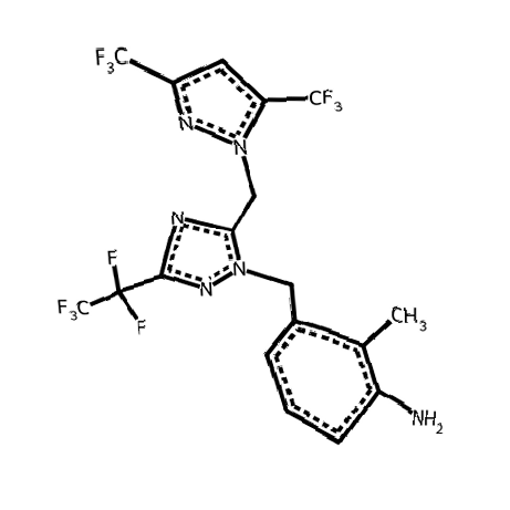 Cc1c(N)cccc1Cn1nc(C(F)(F)C(F)(F)F)nc1Cn1nc(C(F)(F)F)cc1C(F)(F)F